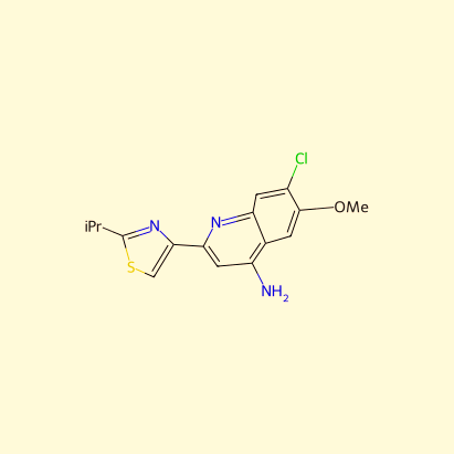 COc1cc2c(N)cc(-c3csc(C(C)C)n3)nc2cc1Cl